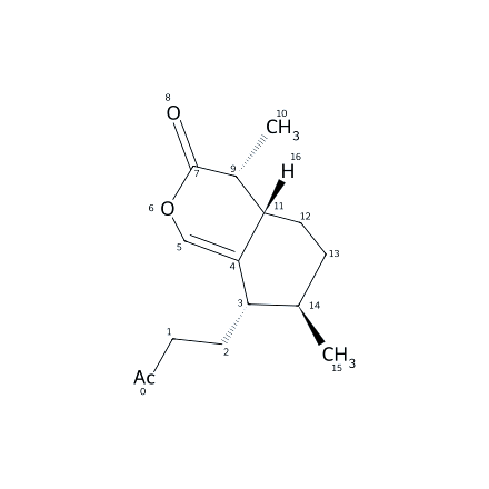 CC(=O)CC[C@@H]1C2=COC(=O)[C@H](C)[C@@H]2CC[C@H]1C